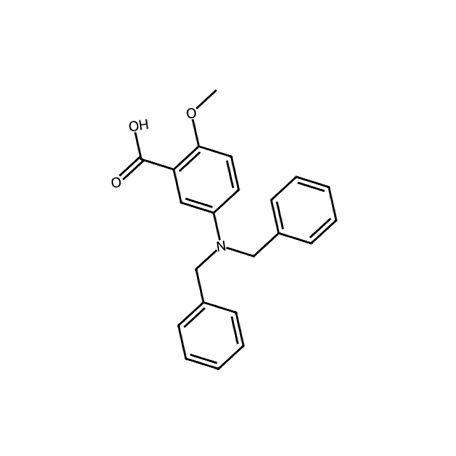 COc1ccc(N(Cc2ccccc2)Cc2ccccc2)cc1C(=O)O